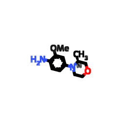 COc1cc(N2CCOC[C@@H]2C)ccc1N